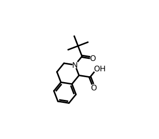 CC(C)(C)C(=O)N1CCc2ccccc2C1C(=O)O